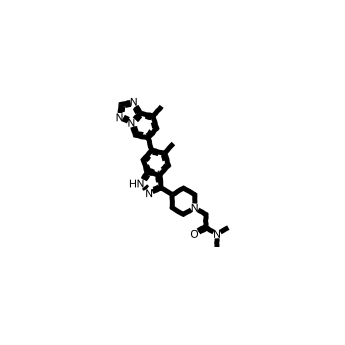 Cc1cc2c(C3CCN(CC(=O)N(C)C)CC3)n[nH]c2cc1-c1cc(C)c2ncnn2c1